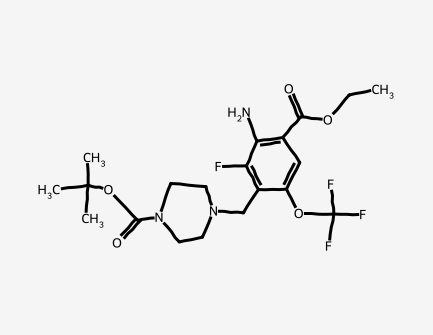 CCOC(=O)c1cc(OC(F)(F)F)c(CN2CCN(C(=O)OC(C)(C)C)CC2)c(F)c1N